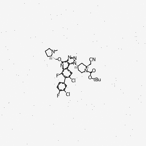 CN1CCC[C@H]1COc1nc2c(F)c(-c3ccc(F)c(Cl)c3)c(Cl)cc2c2c1nnn2[C@H]1CCN(C(=O)OC(C)(C)C)[C@H](CC#N)C1